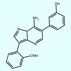 COc1ccccc1-c1cnn2c(N)c(-c3cccc(O)c3)cnc12